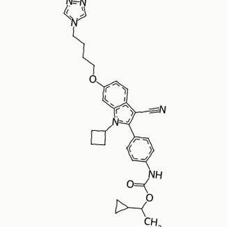 CC(OC(=O)Nc1ccc(-c2c(C#N)c3ccc(OCCCCn4cnnc4)cc3n2C2CCC2)cc1)C1CC1